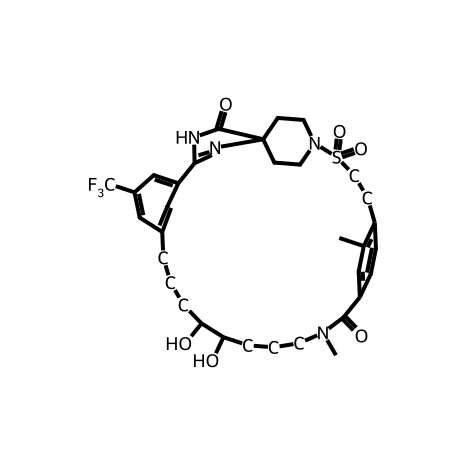 Cc1cc2ccc1CCS(=O)(=O)N1CCC3(CC1)N=C(NC3=O)c1cc(cc(C(F)(F)F)c1)CCCC(O)C(O)CCCN(C)C2=O